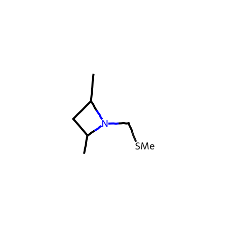 CSCN1C(C)CC1C